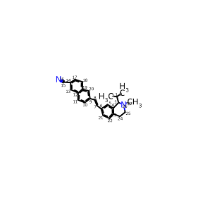 CC(C)C1c2cc(C=Cc3ccc4cc(C#N)ccc4c3)ccc2CCN1C